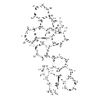 c1ccc2c(c1)Oc1ccc(-c3cccc4c3-c3ccccc3C43c4ccccc4-c4c3c3ccccc3c3ccccc43)cc1C21c2ccccc2-c2ccccc21